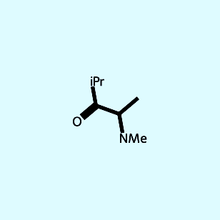 CNC(C)C(=O)C(C)C